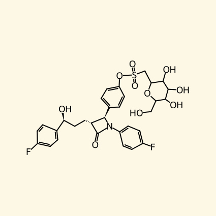 O=C1[C@H](CC[C@H](O)c2ccc(F)cc2)[C@@H](c2ccc(OS(=O)(=O)CC3OC(CO)C(O)C(O)C3O)cc2)N1c1ccc(F)cc1